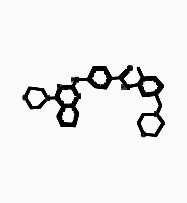 Cc1ccc(CN2CCOCC2)cc1NC(=O)c1ccc(Nc2nc(N3CCOCC3)c3ccccc3n2)cc1